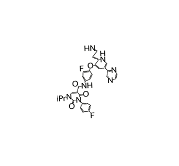 CC(C)n1cc(C(=O)Nc2ccc(OC3=CC(c4cnccn4)=CN/C3=C\C=N)c(F)c2)c(=O)n(-c2ccc(F)cc2)c1=O